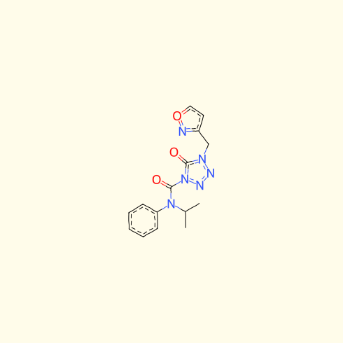 CC(C)N(C(=O)n1nnn(Cc2ccon2)c1=O)c1ccccc1